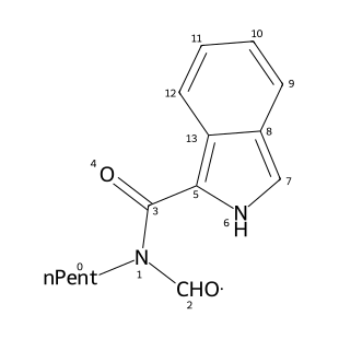 CCCCCN([C]=O)C(=O)c1[nH]cc2ccccc12